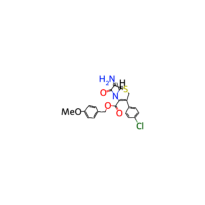 COc1ccc(COC(=O)C2=C(c3ccc(Cl)cc3)CS[C@H]3[C@@H](N)C(=O)N23)cc1